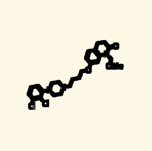 COCN1C(=O)CCc2ccc(OCCCCN3CCN(c4cccc(Cl)c4Cl)CC3)cc21